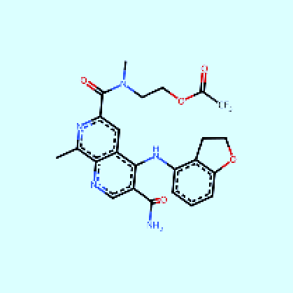 Cc1nc(C(=O)N(C)CCOC(=O)C(F)(F)F)cc2c(Nc3cccc4c3CCO4)c(C(N)=O)cnc12